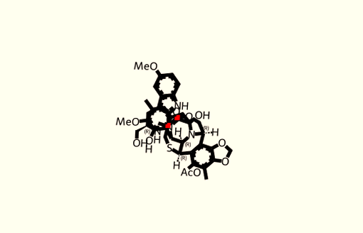 COc1ccc2[nH]c3c(c2c1)C[C@H](CO)N[C@]31CS[C@@H]2c3c(OC(C)=O)c(C)c4c(c3[C@H](COC1=O)N1[C@@H]2C2c3c(cc(C)c(OC)c3O)CC1(O)CN2C)OCO4